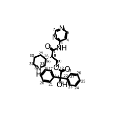 O=C(Nc1ccncn1)C(COC(=O)C(O)(c1ccccc1)c1ccccc1)[C@H]1CCCNC1